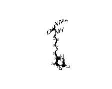 CNC(=O)NSCCSCc1cscn1